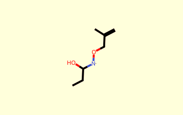 C=C(C)CO[N]C(O)CC